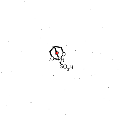 O=S(=O)(O)[PH]12OC[C](CO1)CO2